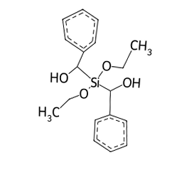 CCO[Si](OCC)(C(O)c1ccccc1)C(O)c1ccccc1